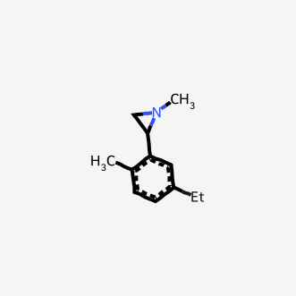 CCc1ccc(C)c(C2CN2C)c1